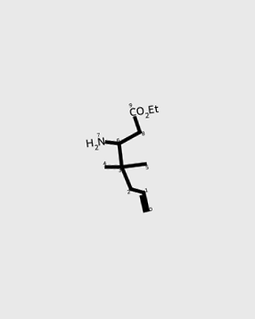 C=CCC(C)(C)C(N)CC(=O)OCC